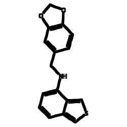 c1cc(NCc2ccc3c(c2)OCO3)c2cscc2c1